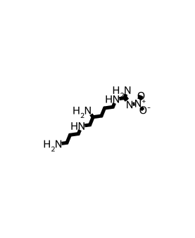 NCCCNCC(N)CCCNC(N)=N[N+](=O)[O-]